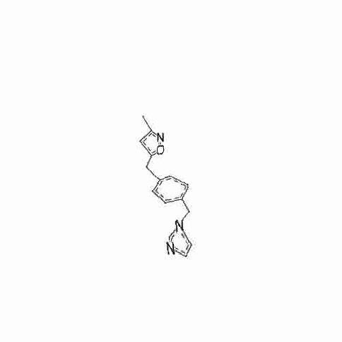 Cc1cc(Cc2ccc(Cn3ccnc3)cc2)on1